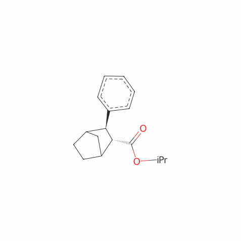 CC(C)OC(=O)[C@@H]1C2CCC(C2)[C@H]1c1ccccc1